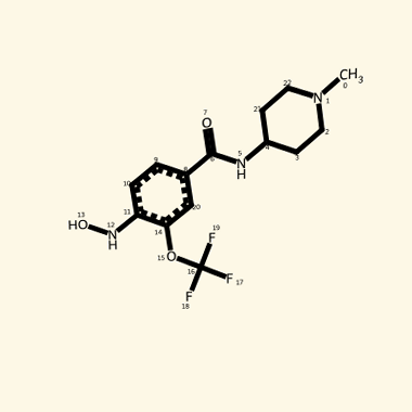 CN1CCC(NC(=O)c2ccc(NO)c(OC(F)(F)F)c2)CC1